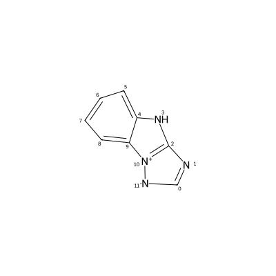 C1=Nc2[nH]c3ccccc3[n+]2[N]1